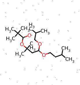 CC(C)CCOC(CC(C)(C)OC([O])C(C)(C)C)OCC(C)C